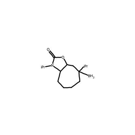 BC1(C(C)C)CCCCC2C(C1)OC(=O)N2C(C)C